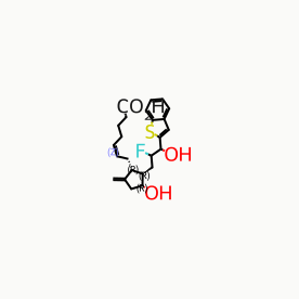 C=C1C[C@@H](O)[C@H](CC(F)C(O)c2cc3ccccc3s2)[C@H]1C/C=C\CCCC(=O)O